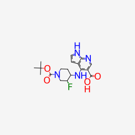 CC(C)(C)OC(=O)N1CCC(Nc2c(C(=O)O)cnc3[nH]ccc23)[C@@H](F)C1